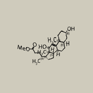 COC(=O)CC[C@@H](C)[C@H]1CC[C@H]2[C@@H]3CC[C@@H]4C[C@H](O)CC[C@]4(C)C3=C[C@@H](O)[C@]12C